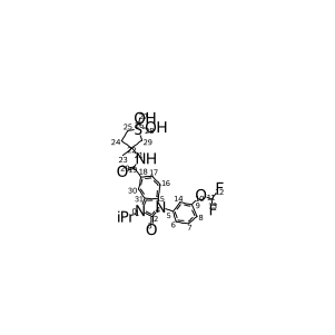 CC(C)n1c(=O)n(-c2cccc(OC(F)F)c2)c2ccc(C(=O)NC3(C)CCS(O)(O)C3)cc21